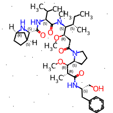 CC[C@H](C)[C@@H]([C@@H](CC(=O)N1CCC[C@H]1[C@H](OC)[C@@H](C)C(=O)N[C@H](CO)Cc1ccccc1)OC)N(C)C(=O)[C@@H](NC(=O)[C@H]1N[C@@H]2CC[C@H]1C2)C(C)C